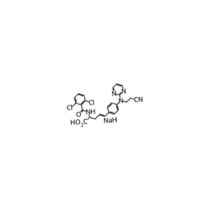 N#CCCN(c1ccc(/C=C/CC(NC(=O)c2c(Cl)cccc2Cl)C(=O)O)cc1)c1ncccn1.[NaH]